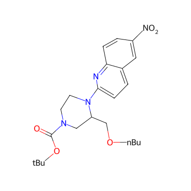 CCCCOCC1CN(C(=O)OC(C)(C)C)CCN1c1ccc2cc([N+](=O)[O-])ccc2n1